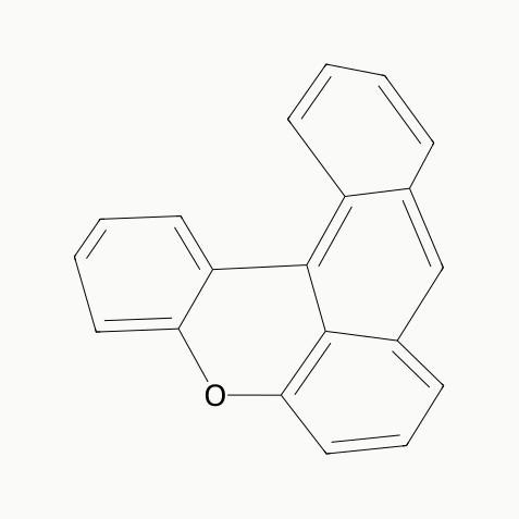 c1ccc2c(c1)Oc1cccc3cc4ccccc4c-2c13